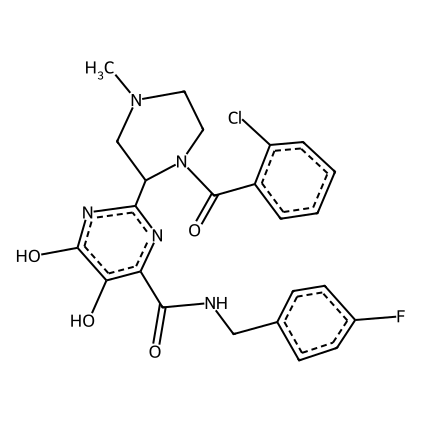 CN1CCN(C(=O)c2ccccc2Cl)C(c2nc(O)c(O)c(C(=O)NCc3ccc(F)cc3)n2)C1